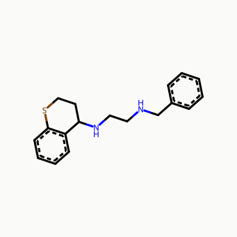 c1ccc(CNCCNC2CCSc3ccccc32)cc1